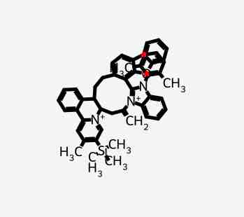 C=C1CC2C(CCc3ccc4c(oc5ccccc54)c3-c3n(-c4c(C)cccc4C)c4ccccc4[n+]31)c1ccccc1-c1cc(C)c([Si](C)(C)C)c[n+]12